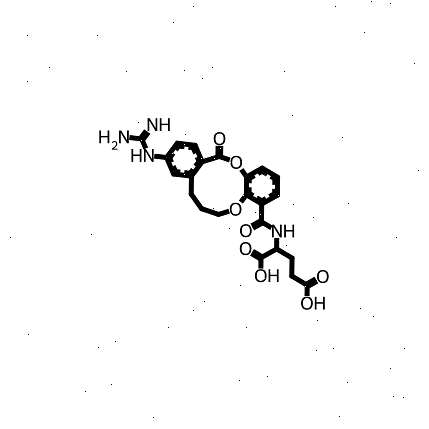 N=C(N)Nc1ccc2c(c1)CCCOc1c(cccc1C(=O)NC(CCC(=O)O)C(=O)O)OC2=O